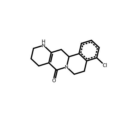 O=C1C2=C(CC3c4cccc(Cl)c4CCN13)NCCC2